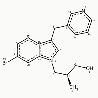 C[C@H](CO)Cn1cc(Cc2cccnc2)c2ccc(Br)cc21